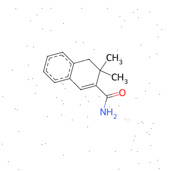 CC1(C)Cc2ccccc2C=C1C(N)=O